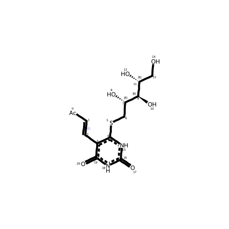 CC(=O)/C=C/c1c(SC[C@H](O)[C@H](O)[C@H](O)CO)[nH]c(=O)[nH]c1=O